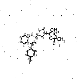 CC(C)(C)OC(=O)N1CC[C@@H]([C@H]2Cc3ccccc3C(c3ccc(F)cc3)=N2)C1